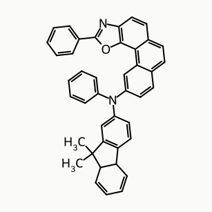 CC1(C)c2cc(N(c3ccccc3)c3ccc4ccc5ccc6nc(-c7ccccc7)oc6c5c4c3)ccc2C2C=CC=CC21